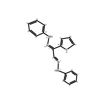 C(=N\Nc1ccccc1)/C(=N/Nc1ccccc1)c1cccs1